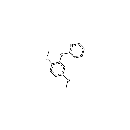 COc1ccc(OC)c(Oc2ccc[c]n2)c1